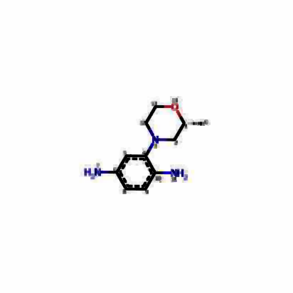 C[C@@H]1CN(c2cc(N)ccc2N)CCO1